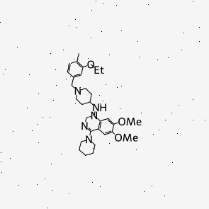 CCOc1cc(CN2CCC(NN3CN=C(N4CCCCC4)c4cc(OC)c(OC)cc43)CC2)ccc1C